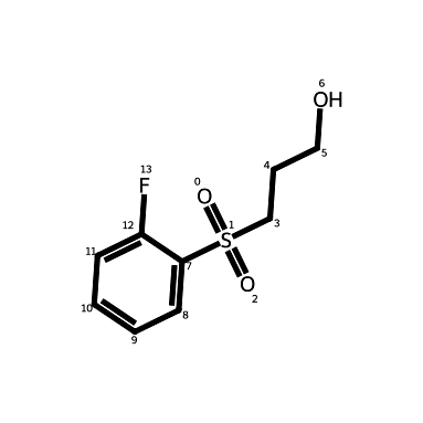 O=S(=O)(CCCO)c1ccccc1F